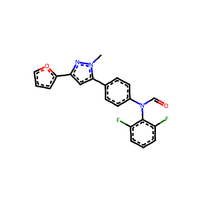 Cn1nc(-c2ccco2)cc1-c1ccc(N(C=O)c2c(F)cccc2F)cc1